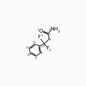 NC(=O)CC(F)(F)c1ccccc1